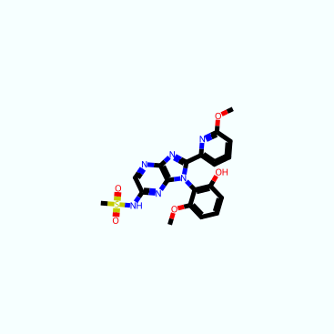 COC1=NC(c2nc3ncc(NS(C)(=O)=O)nc3n2-c2c(O)cccc2OC)=C=C=C1